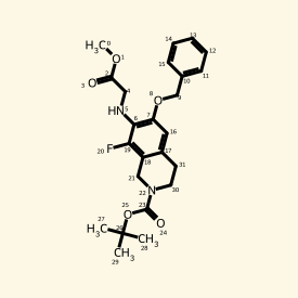 COC(=O)CNc1c(OCc2ccccc2)cc2c(c1F)CN(C(=O)OC(C)(C)C)CC2